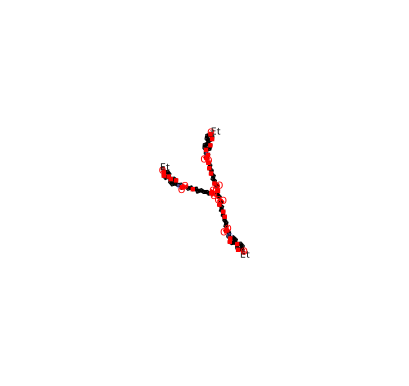 CCOc1ccc(-c2ccc(/C=C/C(=O)OCCCCCCCCCC(=O)OCC(COC(=O)CCCCCCCCCOC(=O)/C=C/c3ccc(-c4ccc(OCC)cc4)cc3)OC(=O)CCCCCCCCCOC(=O)/C=C/c3ccc(-c4ccc(OCC)cc4)cc3)cc2)cc1